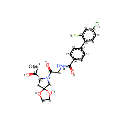 COC(=O)[C@@H]1CC2(CN1C(=O)CNC(=O)c1ccc(-c3ccc(Cl)cc3F)cc1)OCCO2